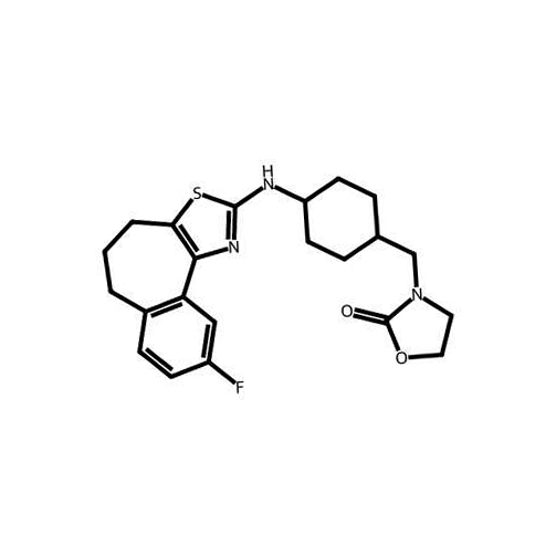 O=C1OCCN1CC1CCC(Nc2nc3c(s2)CCCc2ccc(F)cc2-3)CC1